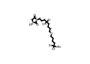 CCCCC(CC)(CC)CCCCOCCCCC(CC)(CC)CCCN1C(=O)CN(CC)C1=O